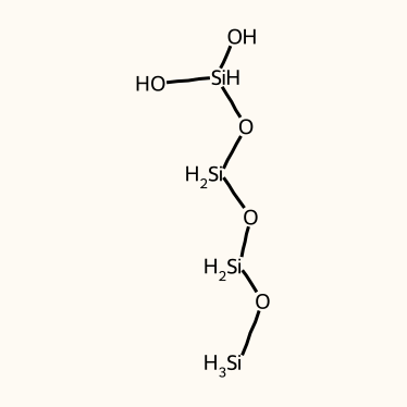 O[SiH](O)O[SiH2]O[SiH2]O[SiH3]